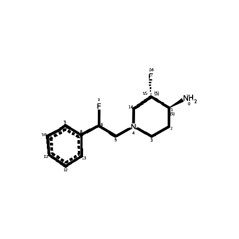 N[C@H]1CCN(CC(F)c2ccccc2)C[C@@H]1F